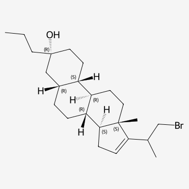 CCC[C@@]1(O)CC[C@H]2[C@H](CC[C@@H]3[C@@H]2CC[C@]2(C)C(C(C)CBr)=CC[C@@H]32)C1